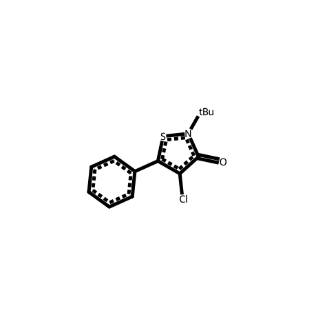 CC(C)(C)n1sc(-c2ccccc2)c(Cl)c1=O